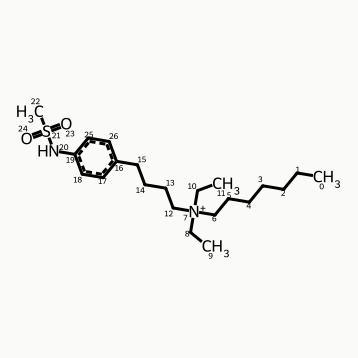 CCCCCCC[N+](CC)(CC)CCCCc1ccc(NS(C)(=O)=O)cc1